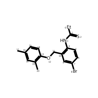 CCC(=S)Nc1ccc(Br)cc1COc1ccc(C)cc1C